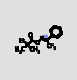 CCC(C)(C)C(=O)O/N=C(/c1ccccc1)C(F)(F)F